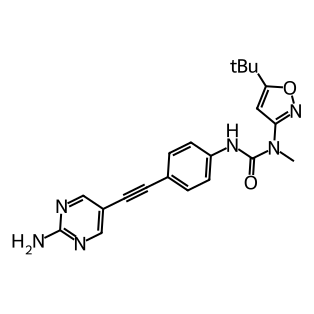 CN(C(=O)Nc1ccc(C#Cc2cnc(N)nc2)cc1)c1cc(C(C)(C)C)on1